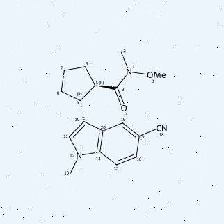 CON(C)C(=O)[C@@H]1CCC[C@H]1c1cn(C)c2ccc(C#N)cc12